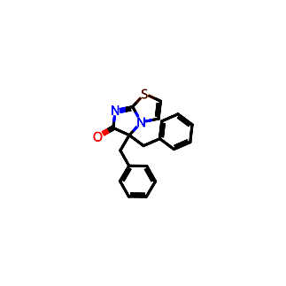 O=C1N=C2SC=CN2C1(Cc1ccccc1)Cc1ccccc1